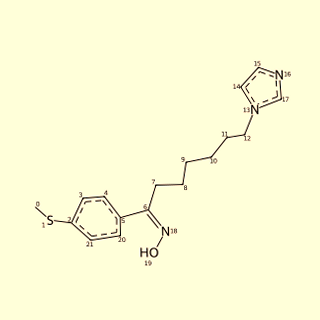 CSc1ccc(/C(CCCCCCn2ccnc2)=N\O)cc1